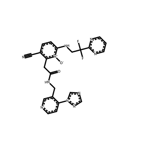 N#Cc1ccc(NCC(F)(F)c2ncccn2)[n+]([O-])c1CC(=O)NCc1cnccc1-n1cncn1